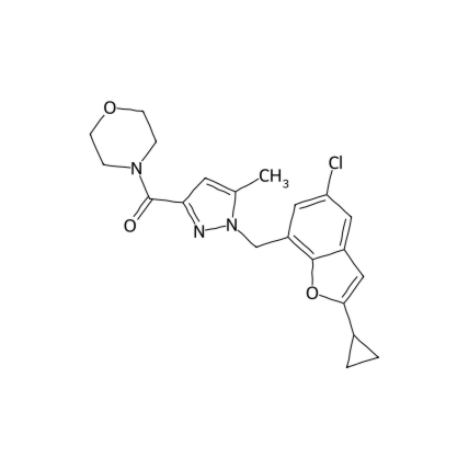 Cc1cc(C(=O)N2CCOCC2)nn1Cc1cc(Cl)cc2cc(C3CC3)oc12